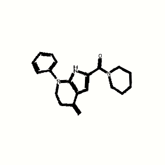 C=C1CCN(c2ccccc2)c2[nH]c(C(=O)N3CCCCC3)cc21